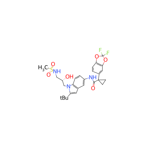 CC(C)(C)c1cc2cc(NC(=O)C3(c4ccc5c(c4)OC(F)(F)O5)CC3)ccc2n1C[C@@H](O)CNS(C)(=O)=O